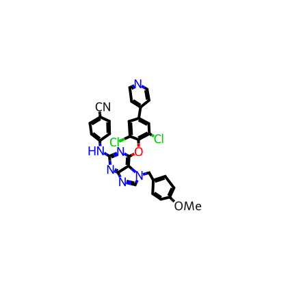 COc1ccc(Cn2cnc3nc(Nc4ccc(C#N)cc4)nc(Oc4c(Cl)cc(-c5ccncc5)cc4Cl)c32)cc1